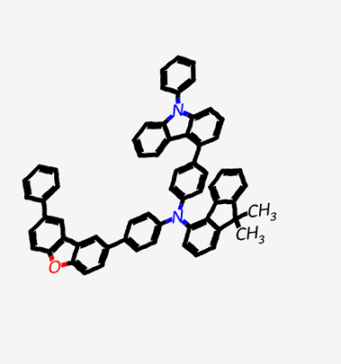 CC1(C)c2ccccc2-c2c(N(c3ccc(-c4ccc5oc6ccc(-c7ccccc7)cc6c5c4)cc3)c3ccc(-c4cccc5c4c4ccccc4n5-c4ccccc4)cc3)cccc21